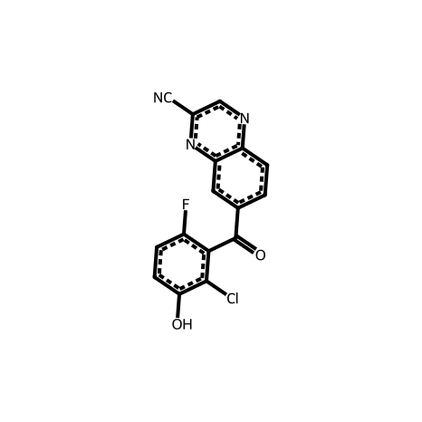 N#Cc1cnc2ccc(C(=O)c3c(F)ccc(O)c3Cl)cc2n1